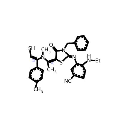 CCNc1ccc(C#N)cc1N=C1S/C(=C(\C)N(C)/C(=C\S)c2ccc(C)cc2)C(=O)N1Cc1ccccc1